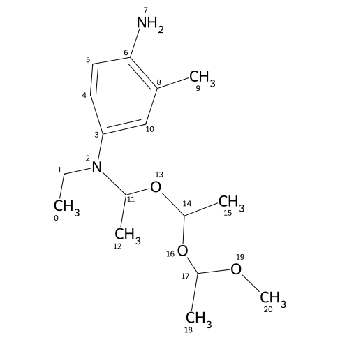 CCN(c1ccc(N)c(C)c1)C(C)OC(C)OC(C)OC